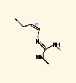 CC/C=C\N=C(NC)NC